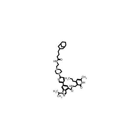 CCCc1cc(C)[nH]c(=O)c1CNC(=O)c1cc(-c2ccc(N3CCN(CCNC(=O)CCCC4CC5CCCC(C4)C5)CC3)nc2)cc2c1cnn2C(C)C